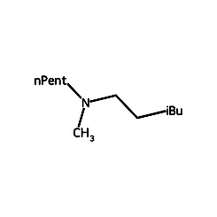 CCCCCN(C)CCC(C)CC